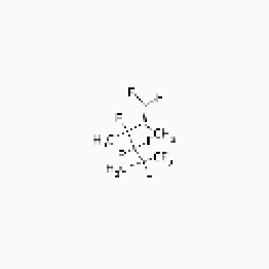 CC(=C(F)F)C(C)(F)C(F)(F)C(C)(F)C(F)(F)F